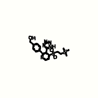 C[Si](C)(C)CCS(=O)(=O)c1ccnc(-c2ccc(CO)cc2)c1-c1nnn[nH]1